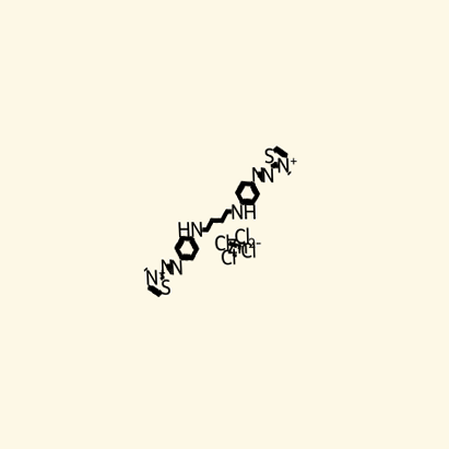 C[n+]1ccsc1N=Nc1ccc(NCCCCNc2ccc(N=Nc3scc[n+]3C)cc2)cc1.[Cl][Zn-2]([Cl])([Cl])[Cl]